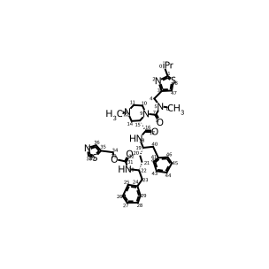 CC(C)c1nc(CN(C)C(=O)N2CCN(C)C[C@H]2C(=O)N[C@@H](CC[C@H](Cc2ccccc2)NC(=O)OCc2cncs2)Cc2ccccc2)cs1